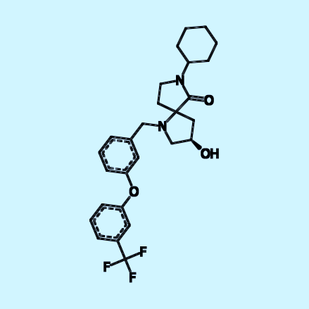 O=C1N(C2CCCCC2)CCC12C[C@@H](O)CN2Cc1cccc(Oc2cccc(C(F)(F)F)c2)c1